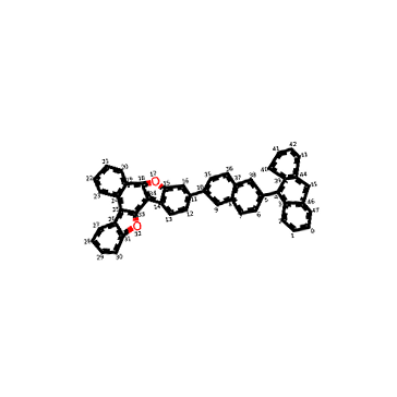 c1ccc2c(-c3ccc4cc(-c5ccc6c(c5)oc5c7ccccc7c7c8ccccc8oc7c65)ccc4c3)c3ccccc3cc2c1